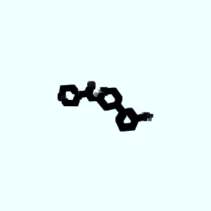 CC(C)c1cccc(C2CC[N][C@H](CC(=O)N3CCOCC3)C2)c1